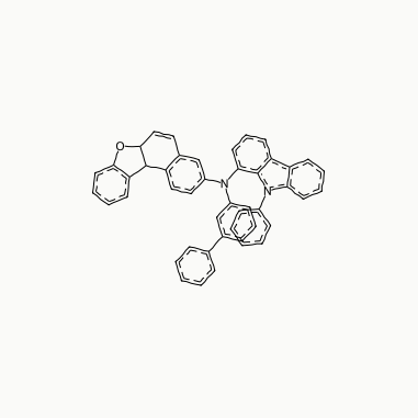 C1=CC2Oc3ccccc3C2c2ccc(N(c3cccc(-c4ccccc4)c3)c3cccc4c5ccccc5n(-c5ccccc5)c34)cc21